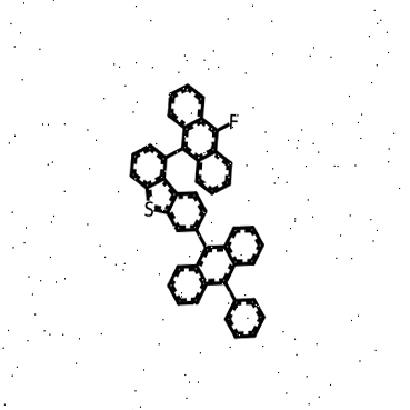 Fc1c2ccccc2c(-c2cccc3sc4cc(-c5c6ccccc6c(-c6ccccc6)c6ccccc56)ccc4c23)c2ccccc12